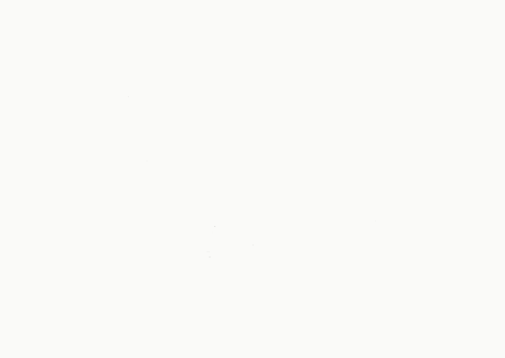 CCC1=Cc2c(-c3ccc(C(C)(C)C)cc3)cccc2[CH]1[Zr]([CH]1C(CC)=Cc2c(-c3ccc(C(C)(C)C)cc3)cccc21)[SiH](C)C